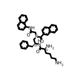 NCCCC[C@H](N)C(=O)N[C@@H](Cc1ccccc1)CN(CC(=O)Nc1cccc2ccccc12)C(=O)c1ccc2ccccc2c1